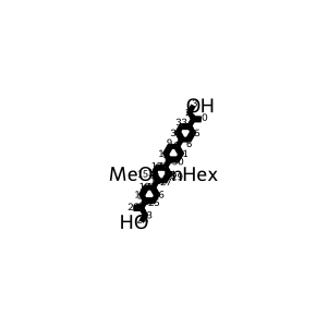 C=C(CO)c1ccc(-c2ccc(-c3cc(OC)c(-c4ccc(C(=C)CO)cc4)cc3CCCCCC)cc2)cc1